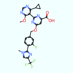 COc1ncnc(C2CC2)c1-c1nc(OCc2ccc(-c3nc(C(F)(F)F)cn3C)c(F)c2)cc(C(=O)O)n1